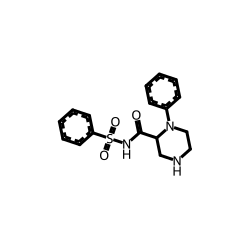 O=C(NS(=O)(=O)c1ccccc1)C1CNCCN1c1ccccc1